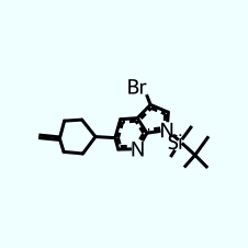 C=C1CCC(c2cnc3c(c2)c(Br)cn3[Si](C)(C)C(C)(C)C)CC1